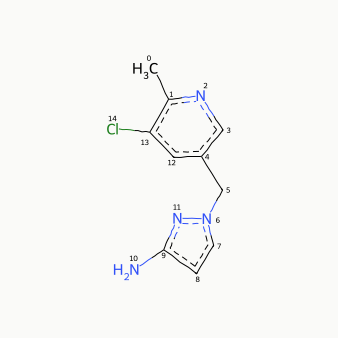 Cc1ncc(Cn2ccc(N)n2)cc1Cl